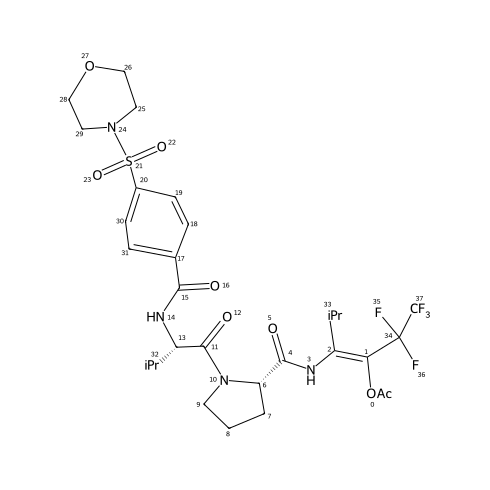 CC(=O)O/C(=C(\NC(=O)[C@@H]1CCCN1C(=O)[C@@H](NC(=O)c1ccc(S(=O)(=O)N2CCOCC2)cc1)C(C)C)C(C)C)C(F)(F)C(F)(F)F